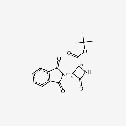 CC(C)(C)OC(=O)[C@@H]1NC(=O)[C@@H]1N1C(=O)c2ccccc2C1=O